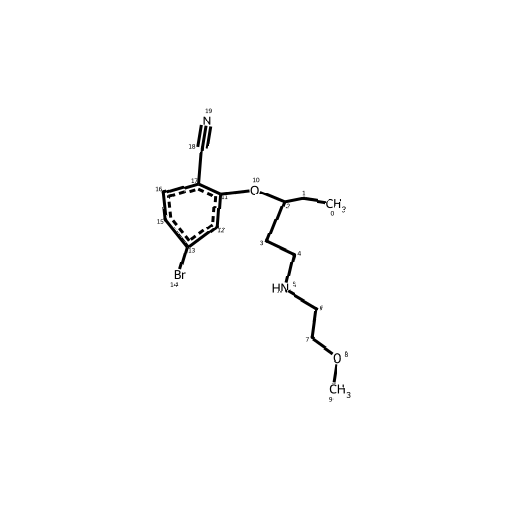 CCC(CCNCCOC)Oc1cc(Br)ccc1C#N